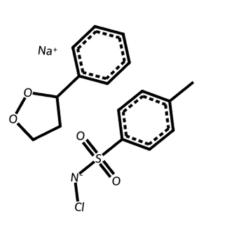 Cc1ccc(S(=O)(=O)[N-]Cl)cc1.[Na+].c1ccc(C2CCOO2)cc1